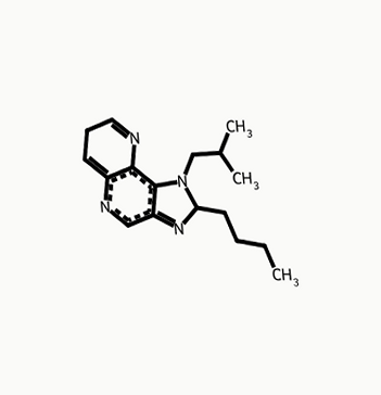 CCCCC1N=c2cnc3c(c2N1CC(C)C)N=CCC=3